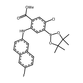 COC(=O)c1cc(Cl)c(B2OC(C)(C)C(C)(C)O2)cc1Nc1ccc2cc(F)ccc2c1